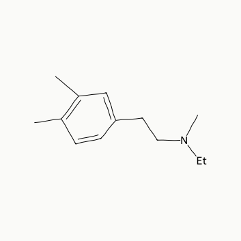 CCN(C)CCc1ccc(C)c(C)c1